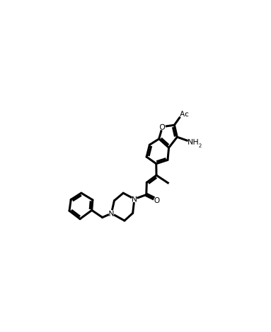 CC(=O)c1oc2ccc(/C(C)=C/C(=O)N3CCN(Cc4ccccc4)CC3)cc2c1N